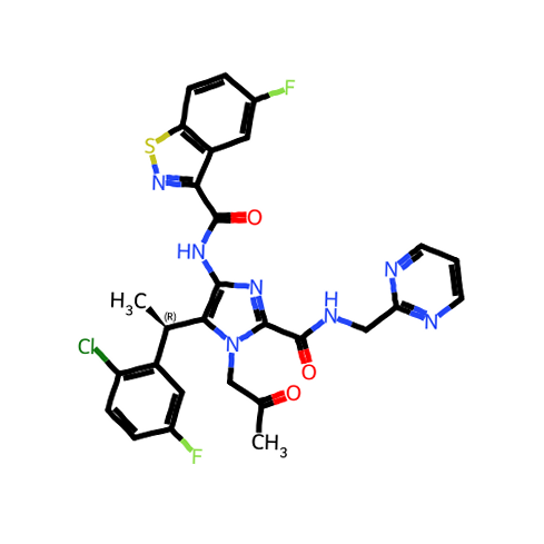 CC(=O)Cn1c(C(=O)NCc2ncccn2)nc(NC(=O)c2nsc3ccc(F)cc23)c1[C@H](C)c1cc(F)ccc1Cl